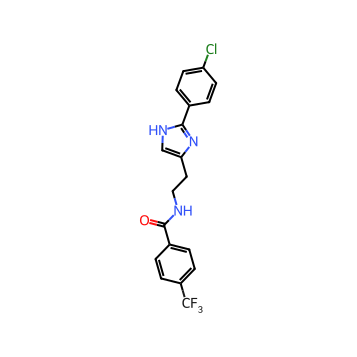 O=C(NCCc1c[nH]c(-c2ccc(Cl)cc2)n1)c1ccc(C(F)(F)F)cc1